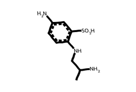 CC(N)CNc1ccc(N)cc1S(=O)(=O)O